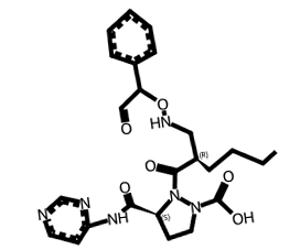 CCCC[C@H](CNOC(C=O)c1ccccc1)C(=O)N1[C@H](C(=O)Nc2ccncn2)CCN1C(=O)O